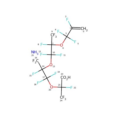 C=C(F)C(F)(F)OC(F)(C(F)(F)F)C(F)(F)OC(F)(C(F)(F)F)C(F)(F)OC(F)(C(=O)O)C(F)(F)F.N